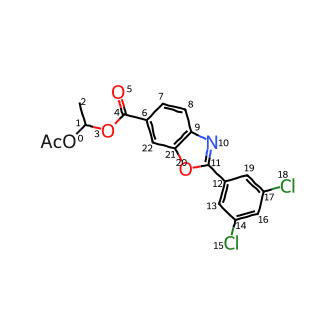 CC(=O)OC(C)OC(=O)c1ccc2nc(-c3cc(Cl)cc(Cl)c3)oc2c1